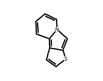 c1ccn2cc3sccc3c2c1